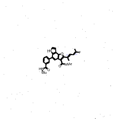 CNC(=O)c1c(/C(C)=C/C=C(\C)F)oc2c1cc(-c1cccc(C(=O)NC(C)(C)C)c1)c1[nH]ccc12